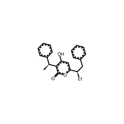 CC[C@H](Cc1ccccc1)c1cc(O)c([C@@H](C)c2ccccc2)c(=O)o1